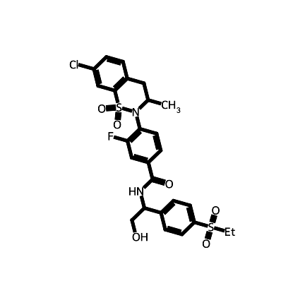 CCS(=O)(=O)c1ccc(C(CO)NC(=O)c2ccc(N3C(C)Cc4ccc(Cl)cc4S3(=O)=O)c(F)c2)cc1